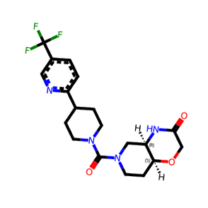 O=C1CO[C@H]2CCN(C(=O)N3CCC(c4ccc(C(F)(F)F)cn4)CC3)C[C@H]2N1